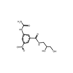 NC(=O)Nc1cc(C(=O)NCC(O)CO)cc([N+](=O)[O-])c1